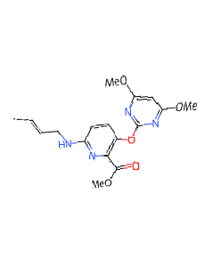 CC=CCNc1ccc(Oc2nc(OC)cc(OC)n2)c(C(=O)OC)n1